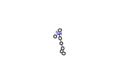 c1ccc(-c2nc3ccccc3nc2-c2ccc(-c3ccc(-c4ccc5c(ccc6ccccc65)c4)cc3)cc2)cc1